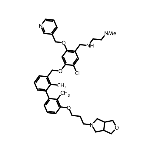 CNCCNCc1cc(Cl)c(OCc2cccc(-c3cccc(OCCCN4CC5COCC5C4)c3C)c2C)cc1OCc1cccnc1